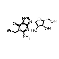 CC(C)Cn1c(N)nc2c(ncn2[C@@H]2O[C@H](CO)[C@@H](O)[C@H]2O)c1=O